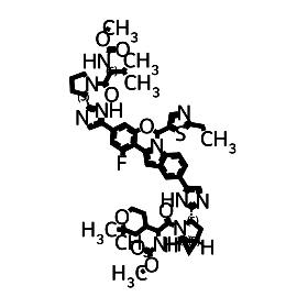 CCc1ncc(C2Oc3cc(-c4cnc([C@@H]5CCCN5C(=O)[C@@H](NC(=O)OC)C(C)C)[nH]4)cc(F)c3-c3cc4cc(-c5cnc([C@@H]6C[C@H]7C[C@H]7N6C(=O)C(NC(=O)OC)C6CCOC(C)(C)C6)[nH]5)ccc4n32)s1